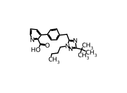 CCCCn1nc(C(C)(C)C)nc1Cc1ccc(-c2cccnc2C(=O)O)cc1